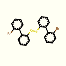 Brc1ccccc1-c1ccccc1SSc1ccccc1-c1ccccc1Br